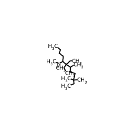 CCCCC(N(C)C)C(CC)(CC)C(C)CCC(C)(C)CC